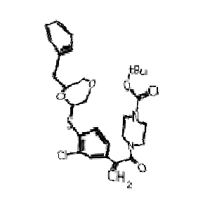 C=C(C(=O)N1CCN(C(=O)OC(C)(C)C)CC1)c1ccc(SC2COCC(Cc3ccccc3)O2)c(Cl)c1